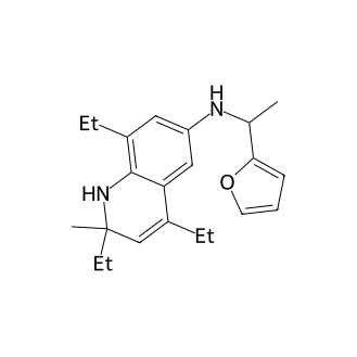 CCC1=CC(C)(CC)Nc2c(CC)cc(NC(C)c3ccco3)cc21